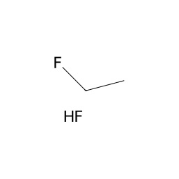 CCF.F